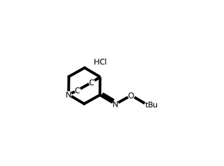 CC(C)(C)ON=C1CN2CCC1CC2.Cl